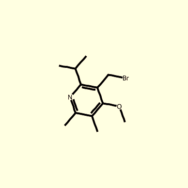 COc1c(C)c(C)nc(C(C)C)c1CBr